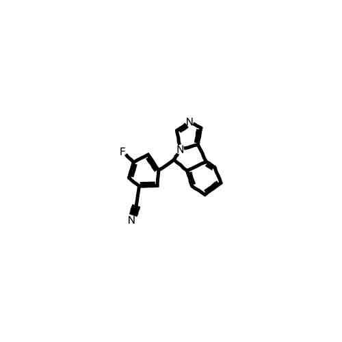 N#Cc1cc(F)cc(C2c3ccccc3-c3cncn32)c1